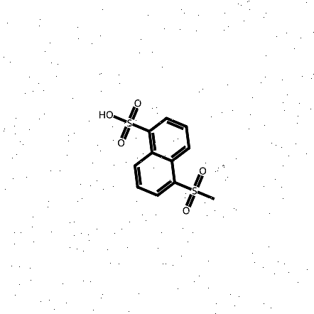 CS(=O)(=O)c1cccc2c(S(=O)(=O)O)cccc12